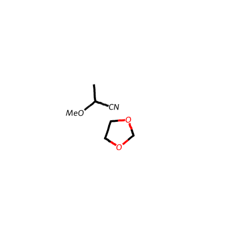 C1COCO1.COC(C)C#N